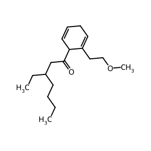 CCCCC(CC)CC(=O)C1C=CCC=C1CCOC